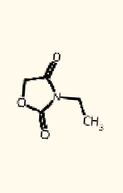 CCN1C(=O)COC1=O